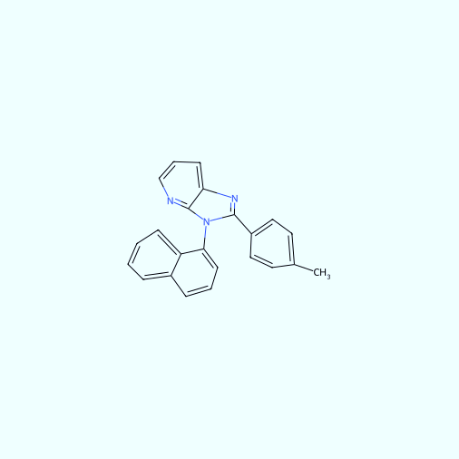 Cc1ccc(-c2nc3cccnc3n2-c2cccc3ccccc23)cc1